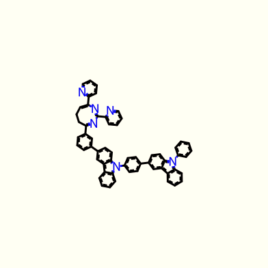 C1=C(c2ccccn2)/N=C(c2ccccn2)\N=C(\c2cccc(-c3ccc4c(c3)c3ccccc3n4-c3ccc(-c4ccc5c(c4)c4ccccc4n5-c4ccccc4)cc3)c2)CC\1